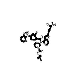 CNC(=O)C#Cc1cc2c(N(C(=O)c3ccc(-n4nnc5cccnc54)cc3F)[C@@H]3CCCN(C(=O)OC(C)(C)C)C3)nccc2s1